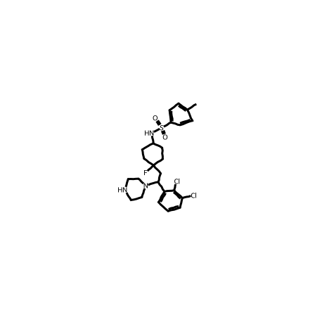 Cc1ccc(S(=O)(=O)NC2CCC(F)(CC(c3cccc(Cl)c3Cl)N3CCNCC3)CC2)cc1